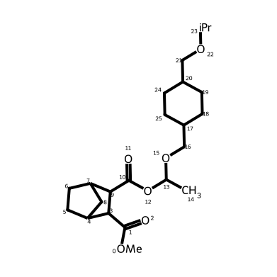 COC(=O)C1C2CCC(C2)C1C(=O)OC(C)OCC1CCC(COC(C)C)CC1